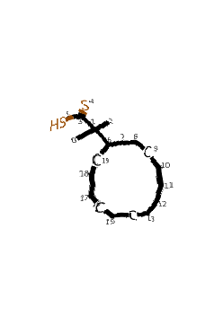 CC(C)(C(=S)S)C1CCCCCCCCCCCCC1